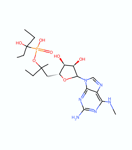 CCC(C)(C[C@H]1OC(n2cnc3c(NC)nc(N)nc32)[C@H](O)[C@@H]1O)OP(=O)(O)C(O)(CC)CC